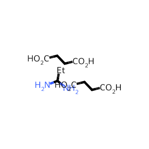 CCC(N)N.O=C(O)CCC(=O)O.O=C(O)CCC(=O)O